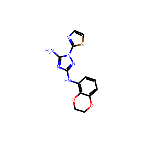 Nc1nc(Nc2cccc3c2OCCO3)nn1-c1nccs1